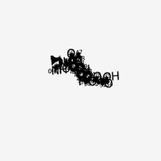 CNCCN(CC1CC1)C[C@H](O)[C@@]12CC[C@]3(C)[C@H](CC[C@@H]4[C@@]5(C)CC[C@H](OC(=O)CC(C)(C)C(=O)O)C(C)(C)[C@H]5CC[C@]43C)C1=C(C(C)C)C(=O)C2